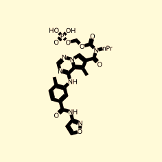 CCCN(C(=O)OCOP(=O)(O)O)C(=O)c1cn2ncnc(Nc3cc(C(=O)Nc4ccon4)ccc3C)c2c1C